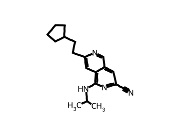 CC(C)Nc1nc(C#N)cc2cnc(CCC3CCCC3)cc12